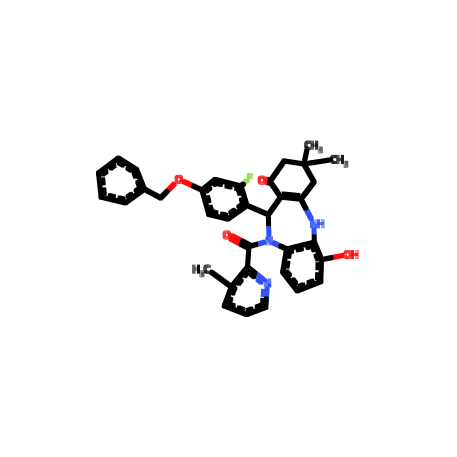 Cc1cccnc1C(=O)N1c2cccc(O)c2NC2=C(C(=O)CC(C)(C)C2)C1c1ccc(OCc2ccccc2)cc1F